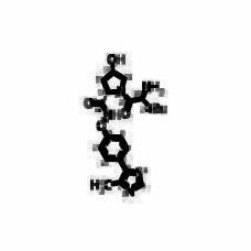 Cc1ncsc1-c1ccc(ONC(=O)[C@@H]2C[C@@H](O)CN2C(=O)[C@@H](N)C(C)(C)C)cc1